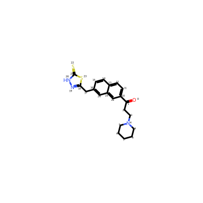 O=C(CCN1CCCCC1)c1ccc2ccc(Cc3n[nH]c(=S)s3)cc2c1